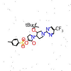 Cc1ccc(S(=O)(=O)O[C@H]2CCN(C3CCN(c4ncc(C(F)(F)F)cn4)CC3O[Si](C)(C)C(C)(C)C)C2=O)cc1